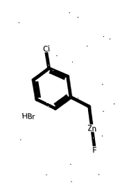 Br.[F][Zn][CH2]c1cccc(Cl)c1